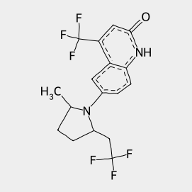 CC1CCC(CC(F)(F)F)N1c1ccc2[nH]c(=O)cc(C(F)(F)F)c2c1